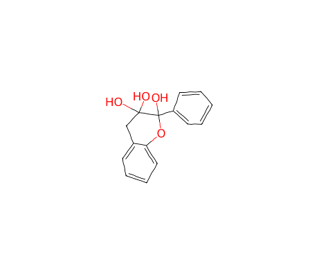 OC1(O)Cc2ccccc2OC1(O)c1ccccc1